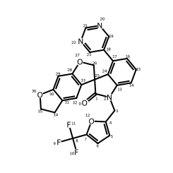 O=C1N(Cc2ccc(C(F)(F)F)o2)c2cccc(-c3cncnc3)c2C12COc1cc3c(cc12)CCO3